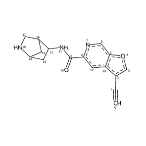 C#Cc1coc2cnc(C(=O)NC3CC4CC3CN4)cc12